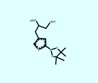 CCCCCCCCCCCC(CCCCCCCCC)Cc1csc(B2OC(C)(C)C(C)(C)O2)c1